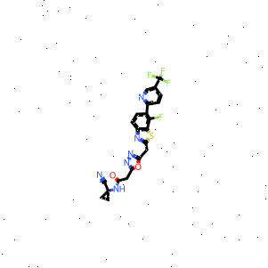 N#CC1(NC(=O)Cc2nnc(Cc3nc4ccc(-c5ccc(C(F)(F)F)cn5)c(F)c4s3)o2)CC1